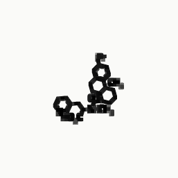 CC(C)c1ccc2c(c1)CC[C@H]1[C@](C)(C(=O)N[C@H](Cc3cccnc3)C(=O)O)CCC[C@]21C